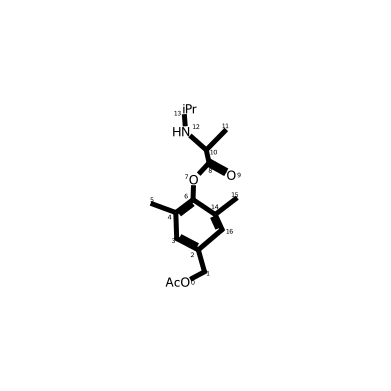 CC(=O)OCc1cc(C)c(OC(=O)C(C)NC(C)C)c(C)c1